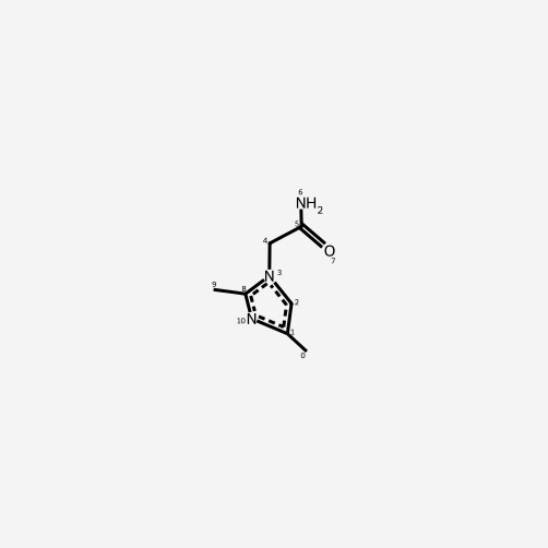 Cc1cn(CC(N)=O)c(C)n1